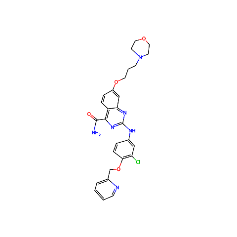 NC(=O)c1nc(Nc2ccc(OCc3ccccn3)c(Cl)c2)nc2cc(OCCCN3CCOCC3)[c]cc12